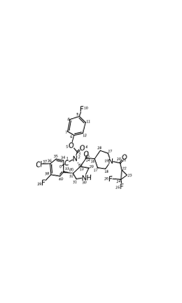 CCN(C(=O)Oc1ccc(F)cc1)[C@]1(C(=O)C2CCN(C(=O)C3CC3(F)F)CC2)CNC[C@H]1c1ccc(Cl)c(F)c1